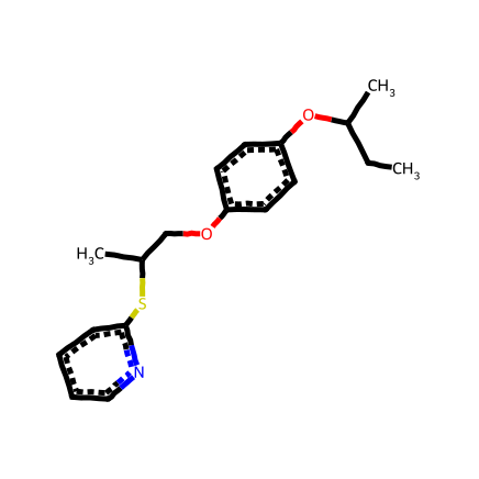 CCC(C)Oc1ccc(OCC(C)Sc2ccccn2)cc1